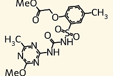 COC(=O)COc1ccc(C)cc1S(=O)(=O)NC(=O)Nc1nc(C)nc(OC)n1